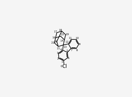 Clc1ccc2c(c1)-c1ccccc1C21C2CC3CC(C2)CC1C3